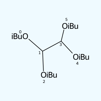 CC(C)COC(OCC(C)C)C(OCC(C)C)OCC(C)C